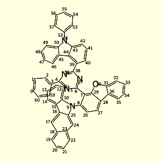 c1ccc(-c2nc(-c3c(-n4c5ccccc5c5cc6ccccc6cc54)ccc4c3oc3ccccc34)nc(-c3cccc4c3c3ccccc3n4-c3ccccc3)n2)cc1